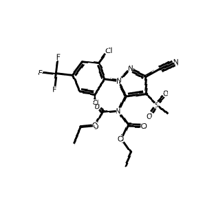 CCOC(=O)N(C(=O)OCC)c1c(S(C)(=O)=O)c(C#N)nn1-c1c(Cl)cc(C(F)(F)F)cc1Cl